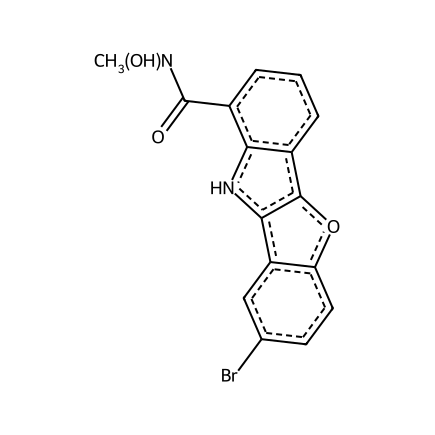 CN(O)C(=O)c1cccc2c1[nH]c1c3cc(Br)ccc3oc21